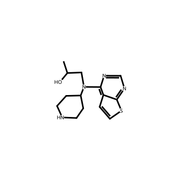 CC(O)CN(c1ncnc2sccc12)C1CCNCC1